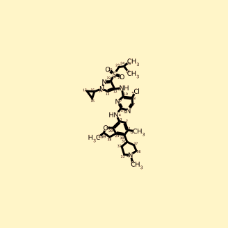 Cc1cc(Nc2ncc(Cl)c(Nc3cn(C4CC4)nc3S(=O)(=O)CC(C)C)n2)c2c(c1C1CCN(C)CC1)CC(C)O2